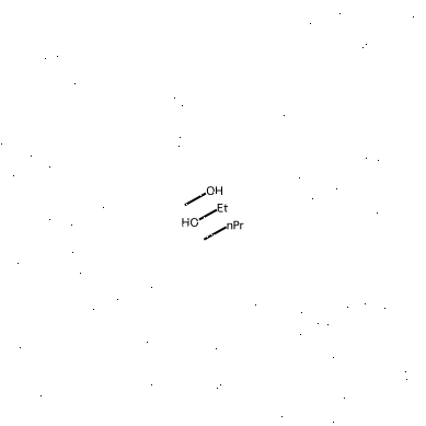 CCCC.CCO.CO